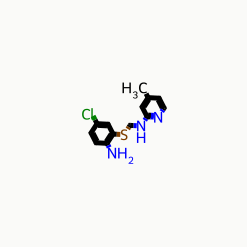 Cc1ccnc(NCSc2cc(Cl)ccc2N)c1